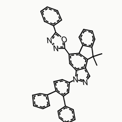 CC1(C)c2ccccc2-c2c(-c3nnc(-c4ccccc4)o3)cc3c(cnn3-c3ccc(-c4ccccc4)c(-c4ccccc4)c3)c21